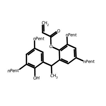 C=CC(=O)Oc1c(CCCCC)cc(CCCCC)cc1C(C)c1cc(CCCCC)cc(CCCCC)c1O